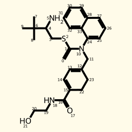 C=C(SCC(N)C(C)(C)C)N(CC1=CC=C(C(=O)NCCO)CC1)c1cccc2ccccc12